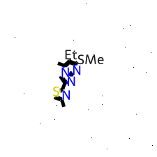 CCc1c(SC)nc2nc(-c3nc(C)cs3)cn2c1C